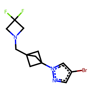 FC1(F)CN(CC23CC(n4cc(Br)cn4)(C2)C3)C1